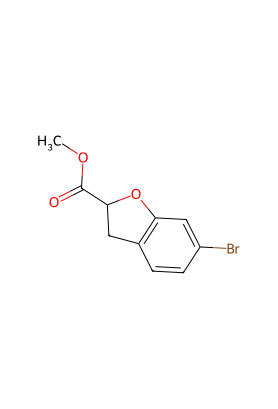 COC(=O)C1Cc2ccc(Br)cc2O1